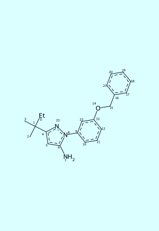 CCC(C)(C)c1cc(N)n(-c2cccc(OCc3ccccc3)c2)n1